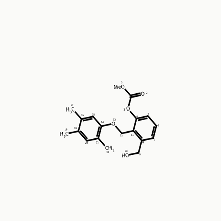 COC(=O)Oc1cccc(CO)c1COc1cc(C)c(C)cc1C